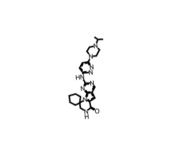 CC(C)N1CCN(c2ccc(Nc3ncc4cc5n(c4n3)C3(CCCCC3)CNC5=O)nn2)CC1